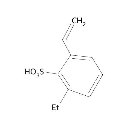 C=Cc1cccc(CC)c1S(=O)(=O)O